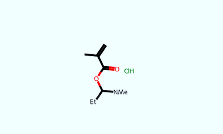 C=C(C)C(=O)OC(CC)NC.Cl